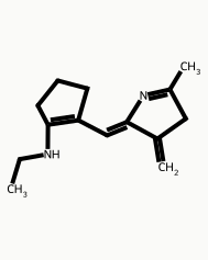 C=C1CC(C)=N/C1=C\C1=C(NCC)CCC1